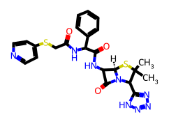 CC1(C)S[C@@H]2C(NC(=O)C(NC(=O)CSc3ccncc3)c3ccccc3)C(=O)N2C1c1nnn[nH]1